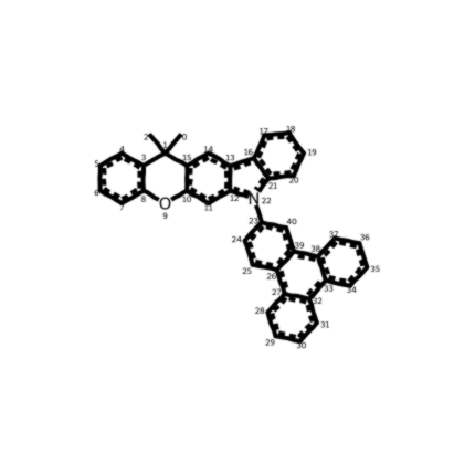 CC1(C)c2ccccc2Oc2cc3c(cc21)c1ccccc1n3-c1ccc2c3ccccc3c3ccccc3c2c1